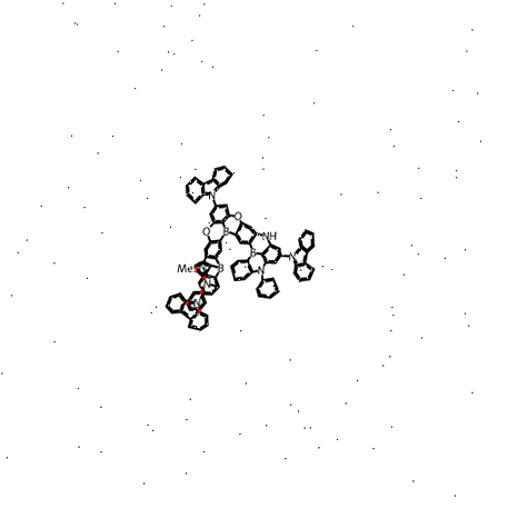 CSN1c2cc3c(cc2B2c4ccccc4N(c4ccccc4)c4cc(-n5c6ccccc6c6ccccc65)cc1c42)B1c2cc4c(cc2Oc2cc(-n5c6ccccc6c6ccccc65)cc(c21)O3)Nc1cc(-n2c3ccccc3c3ccccc32)cc2c1B4c1ccccc1N2c1ccccc1